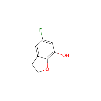 Oc1cc(F)cc2c1OCC2